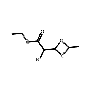 CCOC(=O)C(Br)C1OC(C)O1